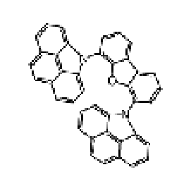 c1cc(-n2c3cccc4ccc5cccc2c5c43)c2oc3c(-n4c5cccc6ccc7cccc4c7c65)cccc3c2c1